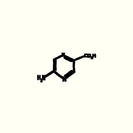 Nc1cnc(C(=O)O)cn1